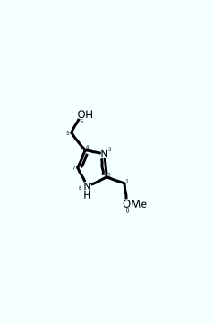 COCc1nc(CO)c[nH]1